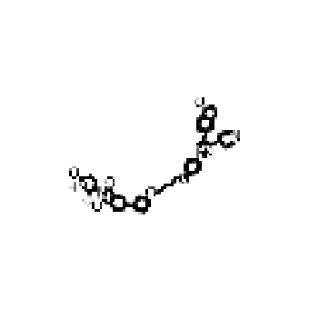 O=C1CCC(N2C(=O)c3ccc(-c4cccc(OCCCCOc5ccc(-n6cc(-c7ccc8c(c7)CCC8=O)c(-c7ccncc7)n6)cc5)c4)cc3C2=O)C(=O)N1